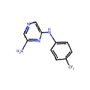 Nc1cncc(Nc2ccc(C(F)(F)F)cc2)n1